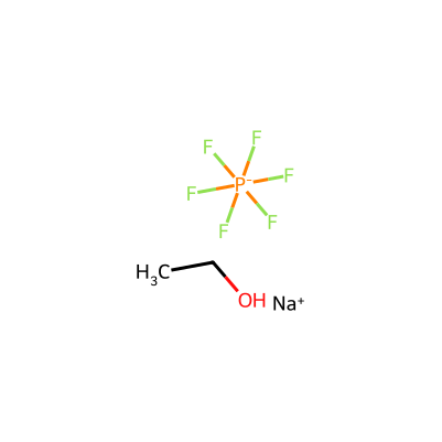 CCO.F[P-](F)(F)(F)(F)F.[Na+]